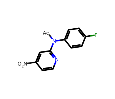 CC(=O)N(c1ccc(F)cc1)c1cc([N+](=O)[O-])ccn1